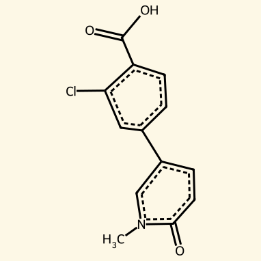 Cn1cc(-c2ccc(C(=O)O)c(Cl)c2)ccc1=O